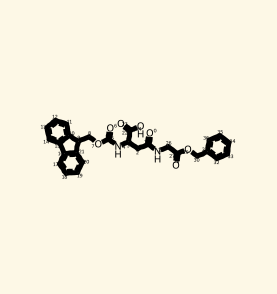 O=C(CC(NC(=O)OCC1c2ccccc2-c2ccccc21)C(=O)O)NCC(=O)OCc1ccccc1